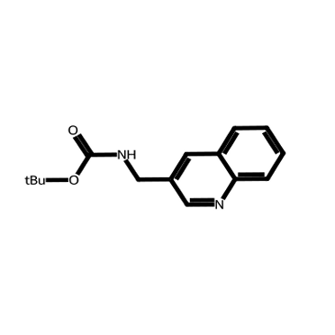 CC(C)(C)OC(=O)NCc1cnc2ccccc2c1